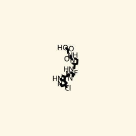 O=C(O)CNC(=O)N1CCCC(CNc2nc(-c3c[nH]c4ncc(Cl)cc34)ncc2F)C1